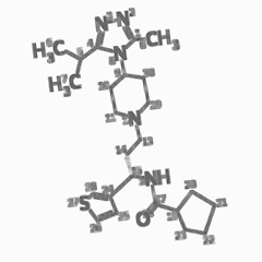 Cc1nnc(C(C)C)n1C1CCN(CC[C@H](NC(=O)C2CCCC2)c2ccsc2)CC1